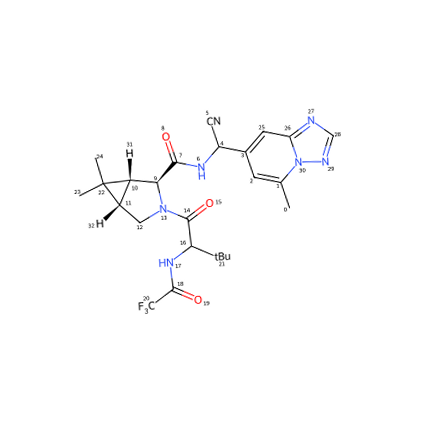 Cc1cc(C(C#N)NC(=O)[C@@H]2[C@@H]3[C@H](CN2C(=O)C(NC(=O)C(F)(F)F)C(C)(C)C)C3(C)C)cc2ncnn12